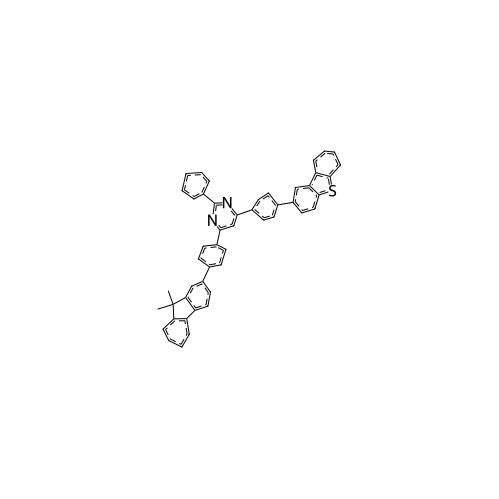 CC1(C)c2ccccc2-c2ccc(-c3ccc(-c4cc(-c5ccc(-c6ccc7sc8ccccc8c7c6)cc5)nc(-c5ccccc5)n4)cc3)cc21